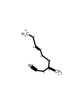 C=C(CC#N)CCC=CCC